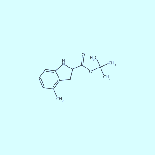 Cc1cccc2c1CC(C(=O)OC(C)(C)C)N2